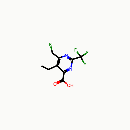 CCc1c(CBr)nc(C(F)(F)F)nc1C(=O)O